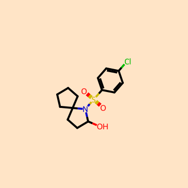 O=S(=O)(c1ccc(Cl)cc1)N1C(O)CCC12CCCC2